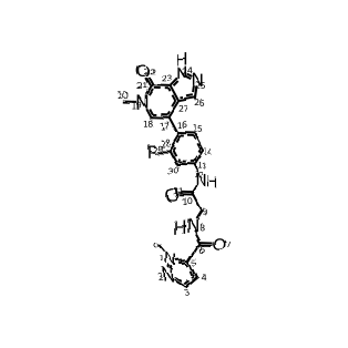 Cn1nccc1C(=O)NCC(=O)Nc1ccc(-c2cn(C)c(=O)c3[nH]ncc23)c(F)c1